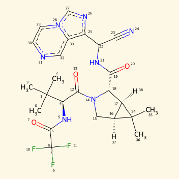 CC(C)(C)[C@H](NC(=O)C(F)(F)F)C(=O)N1C[C@H]2[C@@H]([C@H]1C(=O)NC(C#N)c1ncn3ccncc13)C2(C)C